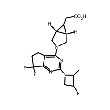 CC1C(F)CN1c1nc(N2C[C@@H]3C(CC(=O)O)[C@@H]3C2)c2c(n1)C(F)(F)CC2